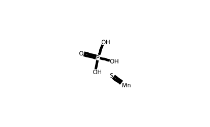 O=P(O)(O)O.[S]=[Mn]